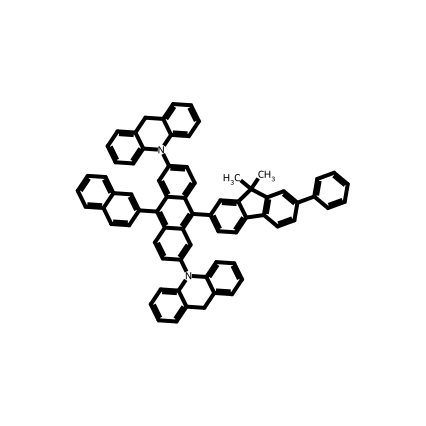 CC1(C)c2cc(-c3ccccc3)ccc2-c2ccc(-c3c4ccc(N5c6ccccc6Cc6ccccc65)cc4c(-c4ccc5ccccc5c4)c4ccc(N5c6ccccc6Cc6ccccc65)cc34)cc21